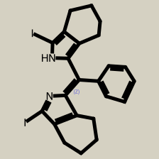 IC1=N/C(=C(/c2ccccc2)c2[nH]c(I)c3c2CCCC3)C2=C1CCCC2